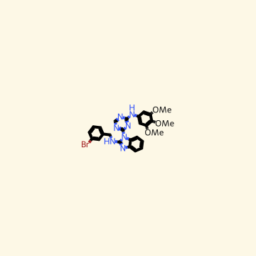 COc1cc(Nc2ncnc(-n3c(NCc4cccc(Br)c4)nc4ccccc43)n2)cc(OC)c1OC